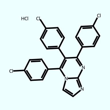 Cl.Clc1ccc(-c2nc3nccn3c(-c3ccc(Cl)cc3)c2-c2ccc(Cl)cc2)cc1